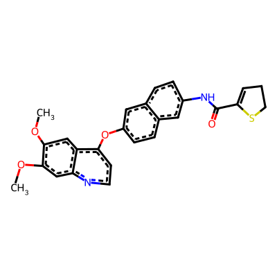 COc1cc2nccc(Oc3ccc4cc(NC(=O)C5=CCCS5)ccc4c3)c2cc1OC